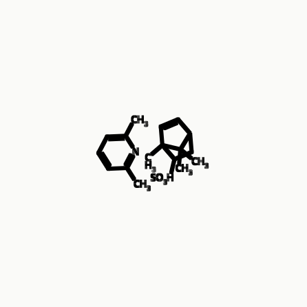 CC1(C)C2C=CC1(C)C(S(=O)(=O)O)C2.Cc1cccc(C)n1